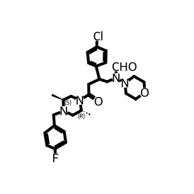 C[C@@H]1CN(Cc2ccc(F)cc2)[C@@H](C)CN1C(=O)CC(CN(C=O)N1CCOCC1)c1ccc(Cl)cc1